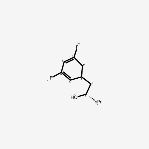 CCC[C@H](O)CC1C=C(F)C=C(F)C1